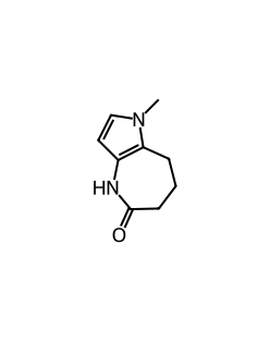 Cn1ccc2c1CCCC(=O)N2